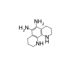 Nc1c(N)c2c(c3c1CCCN3)NCCC2